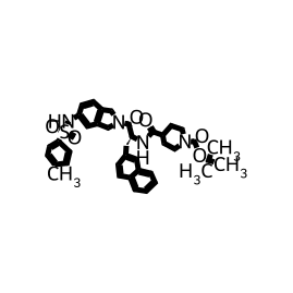 Cc1ccc(S(=O)(=O)Nc2ccc3c(c2)CN(C(=O)[C@@H](Cc2ccc4ccccc4c2)NC(=O)C2CCN(C(=O)OC(C)(C)C)CC2)C3)cc1